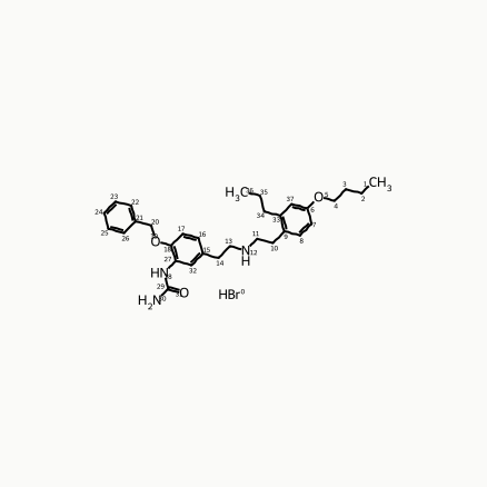 Br.CCCCOc1ccc(CCNCCc2ccc(OCc3ccccc3)c(NC(N)=O)c2)c(CCC)c1